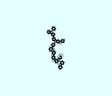 C=C/C=C\c1c(C)c2c3c(ccc2n1-c1cccc2c1oc1ccccc12)oc1ccc(-c2ccc4oc5c(-c6ccc(-n7c8ccc(-c9ccc%10c(c9)c9ccccc9n%10-c9ccccc9)cc8c8cc9c(cc87)oc7ccccc79)cc6)cccc5c4c2)cc13